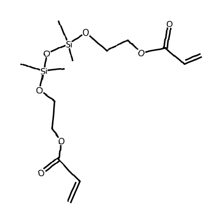 C=CC(=O)OCCO[Si](C)(C)O[Si](C)(C)OCCOC(=O)C=C